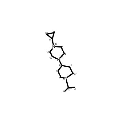 CC(C)N1CCC(N2CCN(C3CC3)CC2)CC1